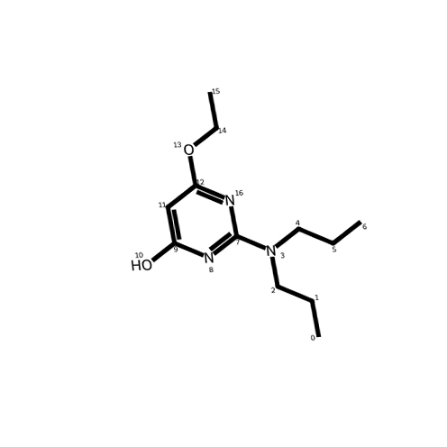 CCCN(CCC)c1nc(O)cc(OCC)n1